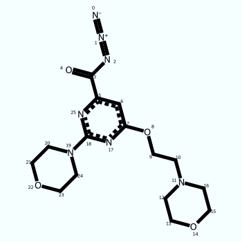 [N-]=[N+]=NC(=O)c1cc(OCCN2CCOCC2)nc(N2CCOCC2)n1